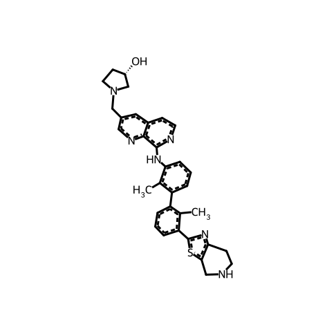 Cc1c(Nc2nccc3cc(CN4CC[C@H](O)C4)cnc23)cccc1-c1cccc(-c2nc3c(s2)CNCC3)c1C